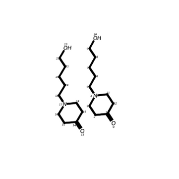 O=C1CCN(CCCCCO)CC1.O=C1CCN(CCCCCO)CC1